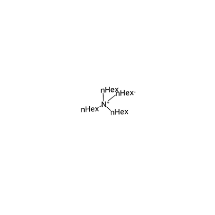 CCCCC[CH][N+](CCCCCC)(CCCCCC)CCCCCC